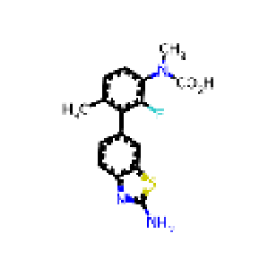 Cc1ccc(N(C)C(=O)O)c(F)c1-c1ccc2nc(N)sc2c1